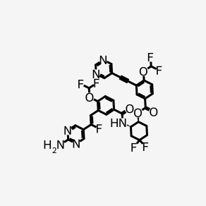 Nc1ncc(/C(F)=C/c2cc(C(=O)N[C@H]3CC(F)(F)CC[C@@H]3OC(=O)c3ccc(OC(F)F)c(C#Cc4cncnc4)c3)ccc2OC(F)F)cn1